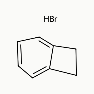 Br.c1ccc2c(c1)CC2